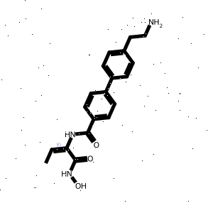 C/C=C(/NC(=O)c1ccc(-c2ccc(CCN)cc2)cc1)C(=O)NO